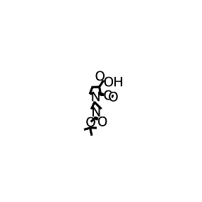 CC(C)(C)OC(=O)N1CC(N2CCC(C(=O)O)C2=C=O)C1